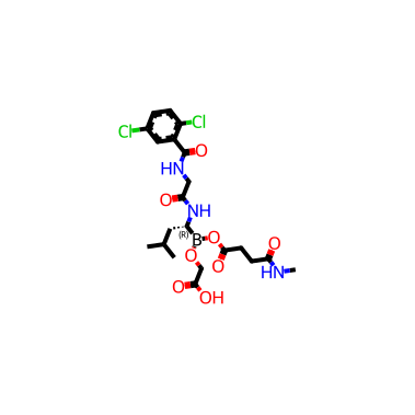 CNC(=O)CCC(=O)OB(OCC(=O)O)[C@H](CC(C)C)NC(=O)CNC(=O)c1cc(Cl)ccc1Cl